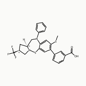 CSc1cc2c(cc1-c1cccc(C(=O)O)c1)SN1C[C@@H](C(F)(F)F)C[C@H]1CN2c1ccccc1